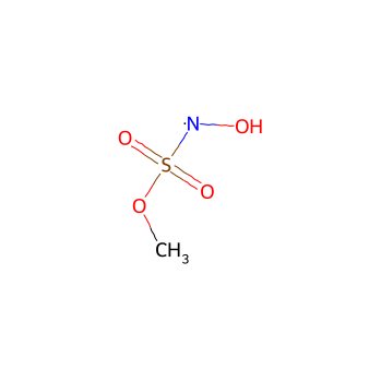 COS(=O)(=O)[N]O